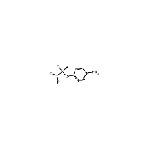 C[C@@](F)(Oc1ccc([N+](=O)[O-])cn1)C(F)F